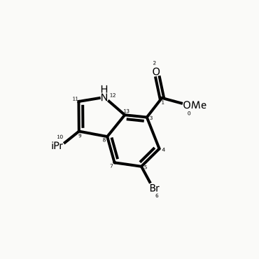 COC(=O)c1cc(Br)cc2c(C(C)C)c[nH]c12